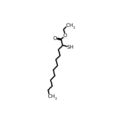 CCCCCCCCCCC(S)C(=O)OCC